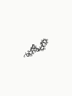 CCOc1ccc(C(COCc2cccc(Sc3ccccc3)c2)C(F)(F)F)cc1